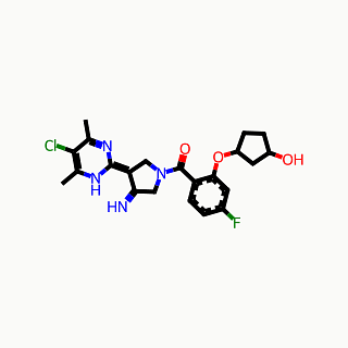 CC1=N/C(=C2\CN(C(=O)c3ccc(F)cc3OC3CCC(O)C3)CC2=N)NC(C)=C1Cl